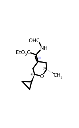 CCOC(=O)/C(NC=O)=C1/C[C@H](C)O[C@@H](C2CC2)C1